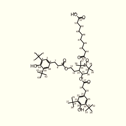 CC(C)(C)c1cc(CCC(=O)OCCC2C(OC(=O)CCc3cc(C(C)(C)C)c(O)c(C(C)(C)C)c3)CC(C)(C)N(OC(=O)CCCCCCCCC(=O)O)C2(C)C)cc(C(C)(C)C)c1O